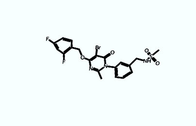 Cc1nc(OCc2ccc(F)cc2F)c(Br)c(=O)n1-c1cccc(CNS(C)(=O)=O)c1